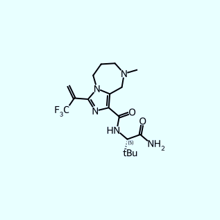 C=C(c1nc(C(=O)N[C@H](C(N)=O)C(C)(C)C)c2n1CCCN(C)C2)C(F)(F)F